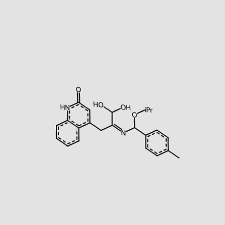 Cc1ccc(C(/N=C(/Cc2cc(=O)[nH]c3ccccc23)C(O)O)OC(C)C)cc1